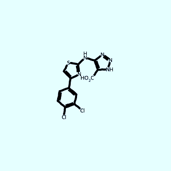 O=C(O)c1[nH]nnc1Nc1nc(-c2ccc(Cl)c(Cl)c2)cs1